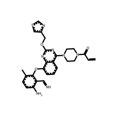 C=CC(=O)N1CCN(c2nc(OCc3cscn3)nc3c(Oc4c(C)ccc(N)c4C=N)cccc23)CC1